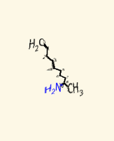 C=CCCCCCCC(C)N